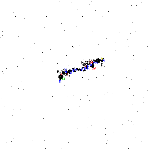 Cc1ncsc1-c1ccc([C@H](C)NC(=O)[C@@H]2C[C@@H](O)CN2C(=O)[C@@H](NC(=O)CN2CCN(CCCCN3CCN(c4ccc(C(=O)NC5C(C)(C)C(Oc6ccc(C#N)c(Cl)c6)C5(C)C)cn4)CC3)CC2)C(C)(C)C)cc1